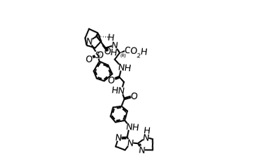 O=C(CNC(=O)c1cccc(NC2=NCCN2C2=NCCN2)c1)NC[C@@H](NC(=O)[C@@H]1C2CCC(CC2)N1S(=O)(=O)c1ccccc1)C(=O)O